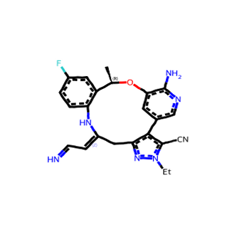 CCn1nc2c(c1C#N)-c1cnc(N)c(c1)O[C@H](C)c1cc(F)ccc1N/C(=C\C=N)C2